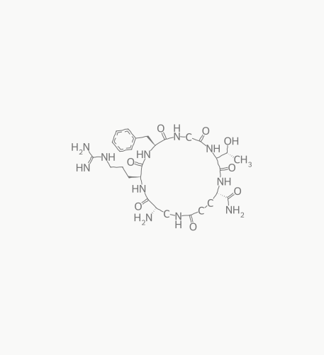 C[C@@H](O)C1NC(=O)CNC(=O)[C@H](Cc2ccccc2)NC(=O)[C@H](CCCNC(=N)N)NC(=O)[C@@H](N)CNC(=O)CC[C@@H](C(N)=O)NC1=O